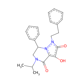 CC(C)N1CC(c2ccccc2)n2c(c(O)c(=O)n2CCc2ccccc2)C1=O